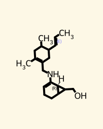 C/C=C/C1CC(CNC2=CCCC3C(CO)[C@H]23)=C(C)CC1C